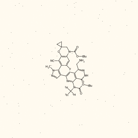 [2H]C([2H])([2H])N(C(=O)OC(C)(C)C)c1nc(-c2cnn(C)c2-c2c(F)cc3c(c2C#N)OC2(CC2)CN3C(=O)OC(C)(C)C)cc2c(CN)n[nH]c(=O)c12